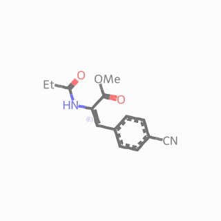 CCC(=O)N/C(=C/c1ccc(C#N)cc1)C(=O)OC